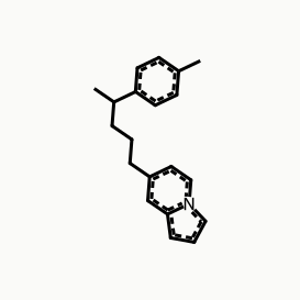 Cc1ccc(C(C)CCCc2ccn3cccc3c2)cc1